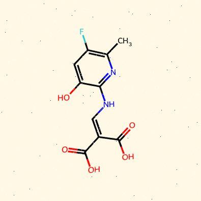 Cc1nc(NC=C(C(=O)O)C(=O)O)c(O)cc1F